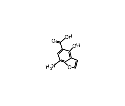 Nc1cc(C(=O)O)c(O)c2ccoc12